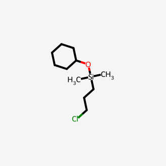 C[Si](C)(CCCCl)OC1CCCCC1